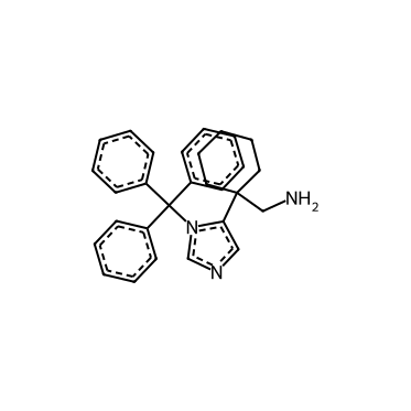 NCC1(c2cncn2C(c2ccccc2)(c2ccccc2)c2ccccc2)CCCCC1